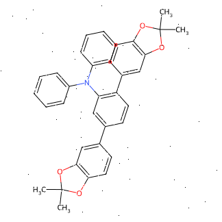 CC1(C)Oc2ccc(-c3ccc(-c4ccc5c(c4)OC(C)(C)O5)c(N(c4ccccc4)c4ccccc4)c3)cc2O1